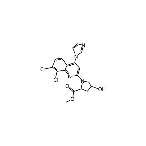 COC(=O)C1CC(O)CN1c1cc(-n2ccnc2)c2ccc(Cl)c(Cl)c2n1